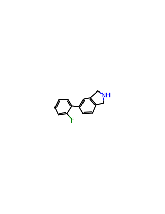 Fc1ccccc1-c1ccc2c(c1)CNC2